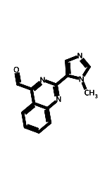 Cn1cncc1-c1nc(C=O)c2ccccc2n1